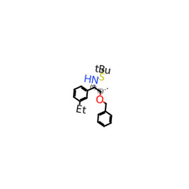 CCc1cccc([C@H](NSC(C)(C)C)[C@H](C)OCc2ccccc2)c1